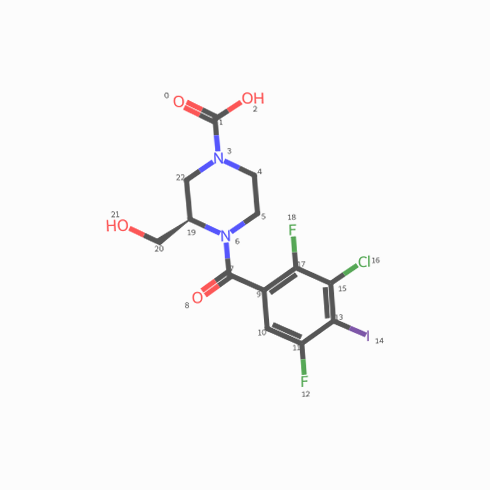 O=C(O)N1CCN(C(=O)c2cc(F)c(I)c(Cl)c2F)[C@@H](CO)C1